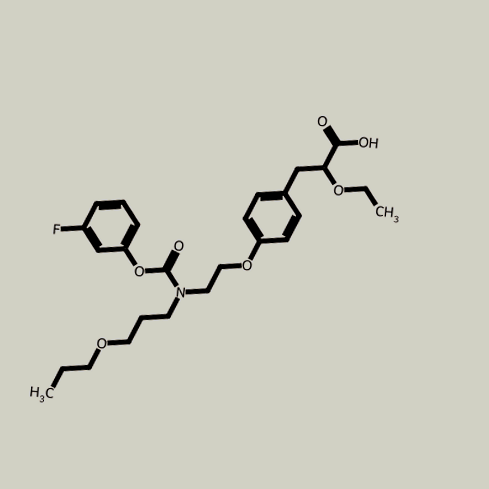 CCCOCCCN(CCOc1ccc(CC(OCC)C(=O)O)cc1)C(=O)Oc1cccc(F)c1